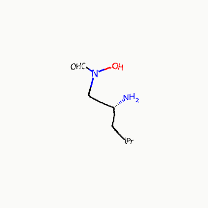 CC(C)C[C@@H](N)CN(O)C=O